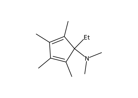 CCC1(N(C)C)C(C)=C(C)C(C)=C1C